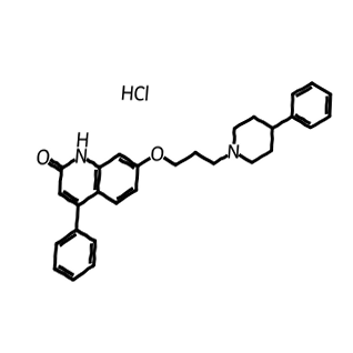 Cl.O=c1cc(-c2ccccc2)c2ccc(OCCCN3CCC(c4ccccc4)CC3)cc2[nH]1